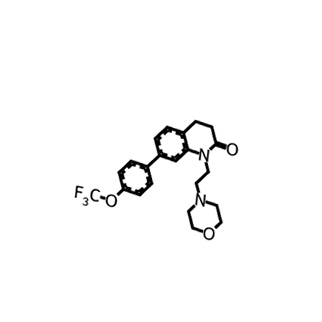 O=C1CCc2ccc(-c3ccc(OC(F)(F)F)cc3)cc2N1CCN1CCOCC1